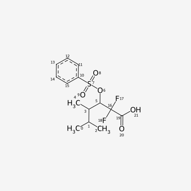 CC(C)C(C)C(OS(=O)(=O)c1ccccc1)C(F)(F)C(=O)O